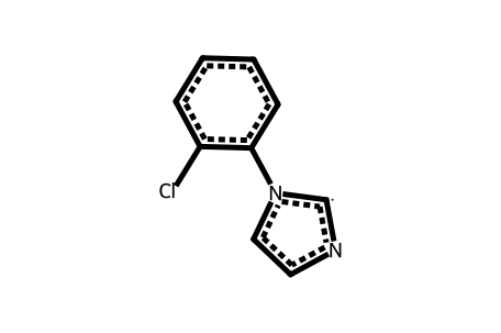 Clc1ccccc1-n1[c]ncc1